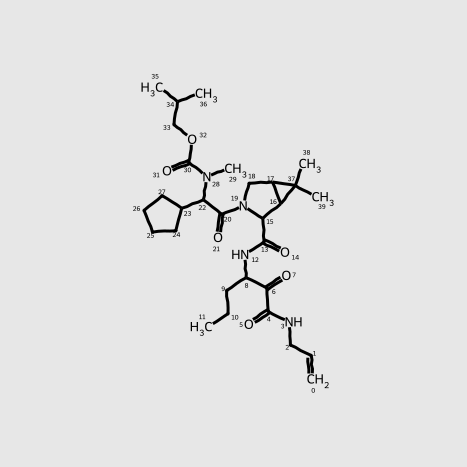 C=CCNC(=O)C(=O)C(CCC)NC(=O)C1C2C(CN1C(=O)C(C1CCCC1)N(C)C(=O)OCC(C)C)C2(C)C